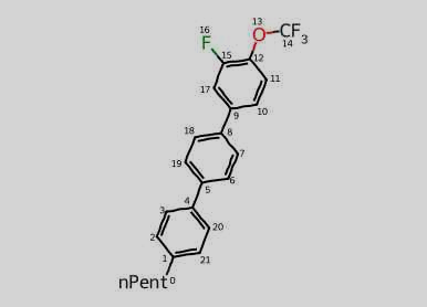 CCCCCc1ccc(-c2ccc(-c3ccc(OC(F)(F)F)c(F)c3)cc2)cc1